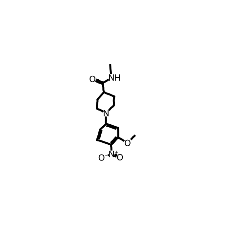 CNC(=O)C1CCN(c2ccc([N+](=O)[O-])c(OC)c2)CC1